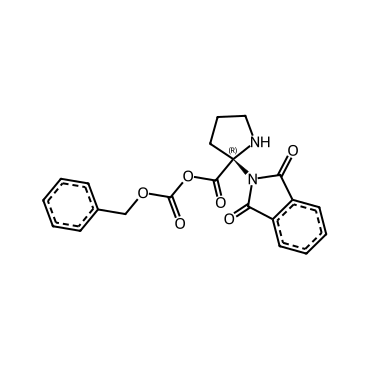 O=C(OCc1ccccc1)OC(=O)[C@]1(N2C(=O)c3ccccc3C2=O)CCCN1